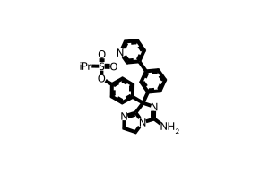 CC(C)S(=O)(=O)Oc1ccc(C2(c3cccc(-c4cccnc4)c3)N=C(N)N3CCN=C32)cc1